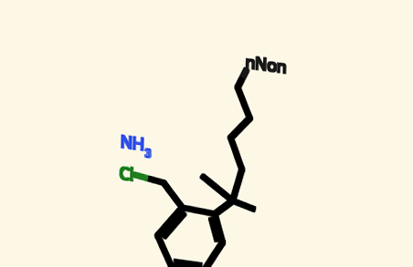 CCCCCCCCCCCCCC(C)(C)c1ccccc1CCl.N